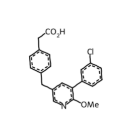 COc1ncc(Cc2ccc(CC(=O)O)cc2)cc1-c1cccc(Cl)c1